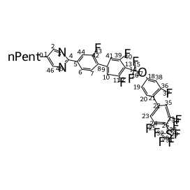 CCCCCc1cnc(-c2ccc(-c3cc(F)c(C(F)(F)Oc4ccc(-c5cc(F)c(S(F)(F)(F)(F)F)c(F)c5)c(F)c4)c(F)c3)c(F)c2)nc1